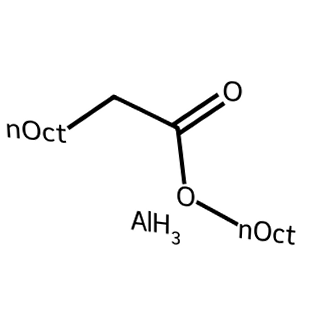 CCCCCCCCCC(=O)OCCCCCCCC.[AlH3]